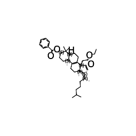 CCOC(=O)C[C@@]12C=C[C@H]([C@H](C)CCCC(C)C)[C@@]1(C)CCC1=C2CC[C@H]2C(C)(C)[C@@H](OC(=O)c3ccccc3)CC[C@]12C